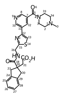 CN1CCN(C(=O)c2cncc(-c3csc(CNC(=O)C4(CC(=O)O)Cc5ccccc5C4)n3)c2)CC1